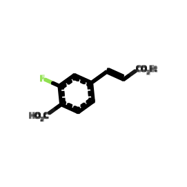 CCOC(=O)C=Cc1ccc(C(=O)O)c(F)c1